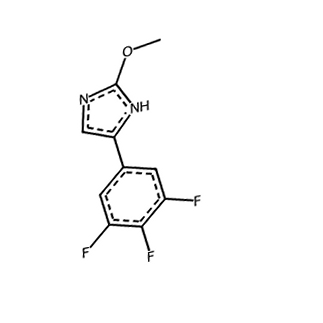 COc1ncc(-c2cc(F)c(F)c(F)c2)[nH]1